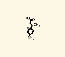 C[C@H](CC(=O)O)c1ccc(N)cc1